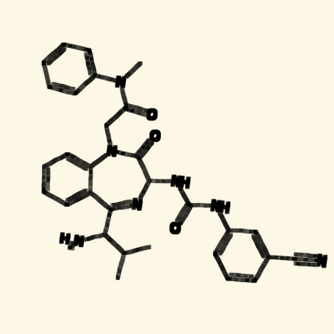 CC(C)C(N)C1=NC(NC(=O)Nc2cccc(C#N)c2)C(=O)N(CC(=O)N(C)c2ccccc2)c2ccccc21